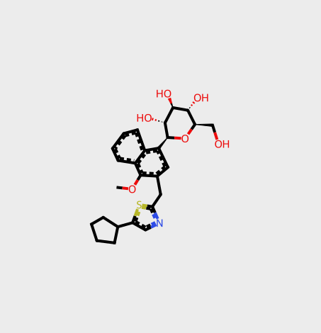 COc1c(Cc2ncc(C3CCCC3)s2)cc([C@@H]2O[C@H](CO)[C@@H](O)[C@H](O)[C@H]2O)c2ccccc12